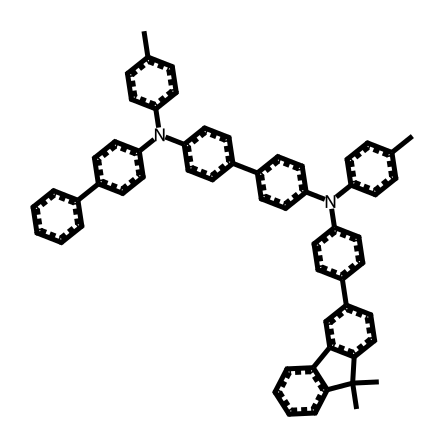 Cc1ccc(N(c2ccc(-c3ccccc3)cc2)c2ccc(-c3ccc(N(c4ccc(C)cc4)c4ccc(-c5ccc6c(c5)-c5ccccc5C6(C)C)cc4)cc3)cc2)cc1